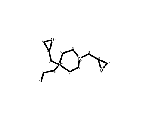 CCC[N+]1(CC2CO2)CCN(CC2CO2)CC1